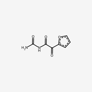 NC(=O)NC(=O)C(=O)c1ccco1